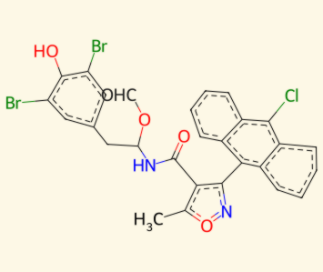 Cc1onc(-c2c3ccccc3c(Cl)c3ccccc23)c1C(=O)NC(Cc1cc(Br)c(O)c(Br)c1)OC=O